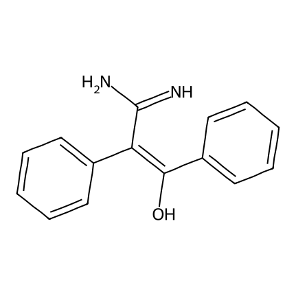 N=C(N)C(=C(O)c1ccccc1)c1ccccc1